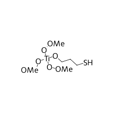 CO[O][Ti]([O]CCCS)([O]OC)[O]OC